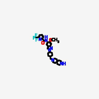 COc1cc2nn(C3CCC(CN4CCC5(CCNCC5)CC4)CC3)cc2cc1NC(=O)c1cccc(C(F)(F)F)n1